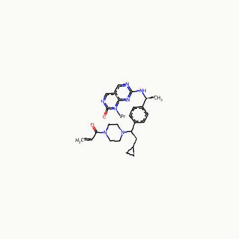 C=CC(=O)N1CCN(C(CC2CC2)c2ccc([C@H](C)Nc3ncc4cnc(=O)n(C(C)C)c4n3)cc2)CC1